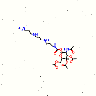 CC(=O)NC1C(OC(C)=O)[C@@H](OC(C)=O)C(COC(C)=O)O[C@H]1OC(=O)NCCCNCCCNCCCN